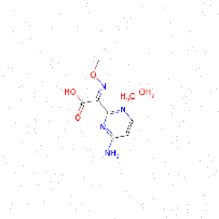 CO/N=C(\C(=O)O)c1nccc(N)n1.O.O